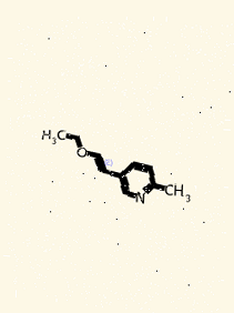 CCO/C=C/c1ccc(C)nc1